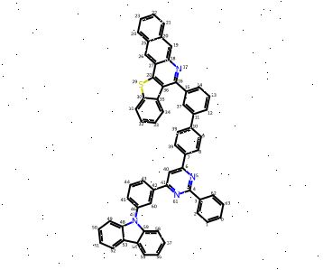 c1ccc(-c2nc(-c3ccc(-c4cccc(-c5nc6cc7ccccc7cc6c6sc7ccccc7c56)c4)cc3)cc(-c3cccc(-n4c5ccccc5c5ccccc54)c3)n2)cc1